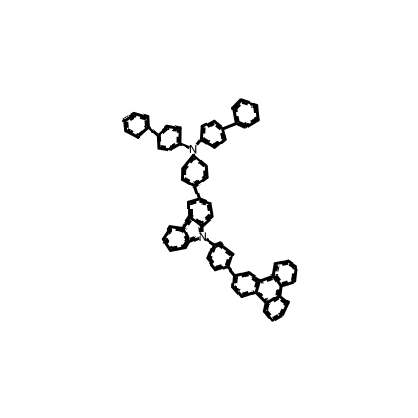 c1ccc(-c2ccc(N(c3ccc(-c4ccccc4)cc3)c3ccc(-c4ccc5c(c4)c4ccccc4n5-c4ccc(-c5ccc6c7ccccc7c7ccccc7c6c5)cc4)cc3)cc2)cc1